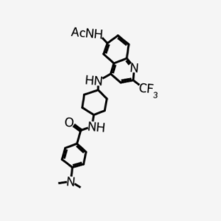 CC(=O)Nc1ccc2nc(C(F)(F)F)cc(NC3CCC(NC(=O)c4ccc(N(C)C)cc4)CC3)c2c1